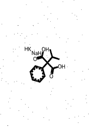 CC(C)C(C(=O)O)(C(=O)O)c1ccccc1.[KH].[NaH]